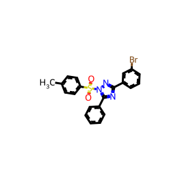 Cc1ccc(S(=O)(=O)n2nc(-c3cccc(Br)c3)nc2-c2ccccc2)cc1